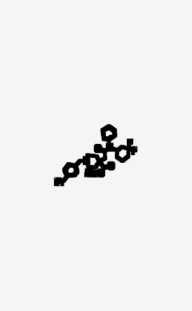 COC(=O)C1(CC(=O)N(c2ccccc2)C2CCCC(F)(F)C2)CCN(Cc2ccc(C(C)C)cc2)CC1